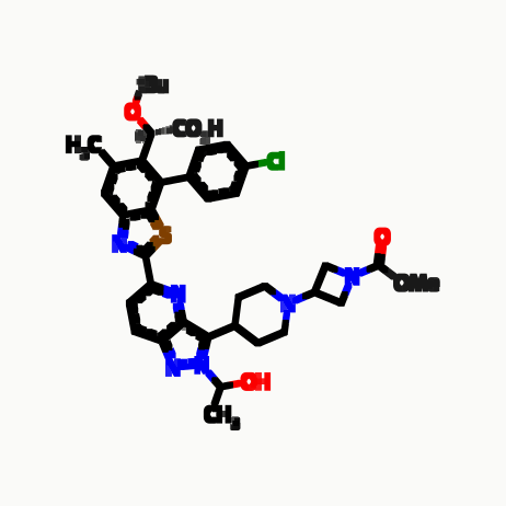 COC(=O)N1CC(N2CCC(c3c4nc(-c5nc6cc(C)c([C@H](OC(C)(C)C)C(=O)O)c(-c7ccc(Cl)cc7)c6s5)ccc4nn3C(C)O)CC2)C1